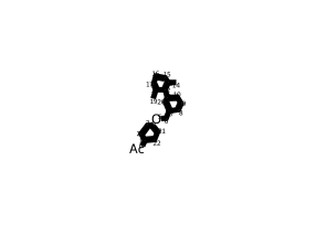 CC(=O)c1ccc(OCc2cccc(-c3c(C)cccc3C)c2)cc1